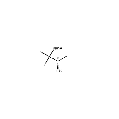 CNC(C)(C)[C@@H](C)C#N